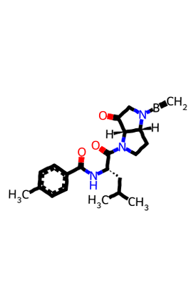 C=BN1CC(=O)[C@@H]2[C@H]1CCN2C(=O)[C@H](CC(C)C)NC(=O)c1ccc(C)cc1